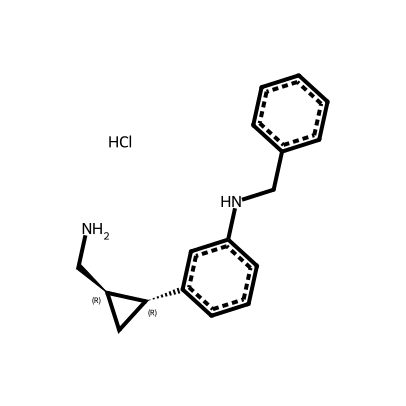 Cl.NC[C@@H]1C[C@H]1c1cccc(NCc2ccccc2)c1